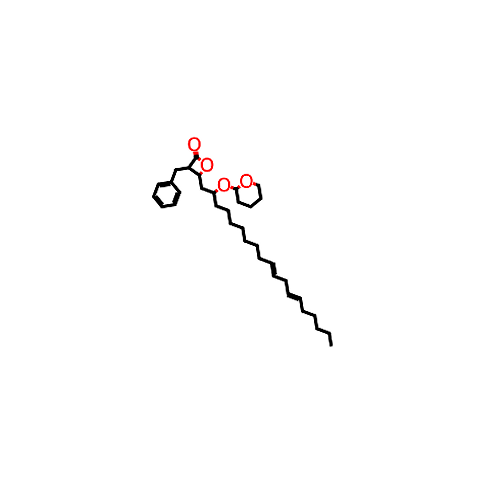 CCCCCC=CCC=CCCCCCCCC(CC1OC(=O)C1Cc1ccccc1)OC1CCCCO1